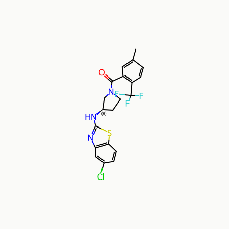 Cc1ccc(C(F)(F)F)c(C(=O)N2CC[C@@H](Nc3nc4cc(Cl)ccc4s3)C2)c1